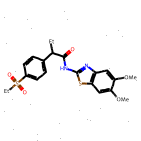 CCC(C(=O)Nc1nc2cc(OC)c(OC)cc2s1)c1ccc(S(=O)(=O)CC)cc1